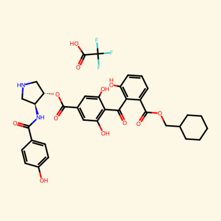 O=C(N[C@H]1CNC[C@@H]1OC(=O)c1cc(O)c(C(=O)c2c(O)cccc2C(=O)OCC2CCCCC2)c(O)c1)c1ccc(O)cc1.O=C(O)C(F)(F)F